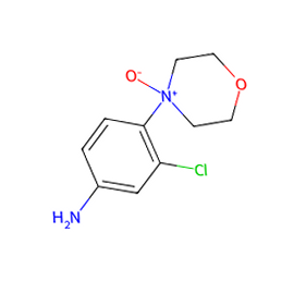 Nc1ccc([N+]2([O-])CCOCC2)c(Cl)c1